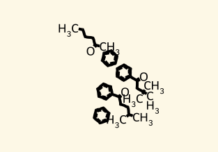 CC(C)(C)CC(=O)c1ccccc1.CC(C)CCC(=O)c1ccccc1.CCCCC(C)=O.c1ccccc1.c1ccccc1